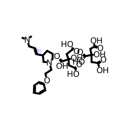 CN(C)C/C=C/C1CCCN(CCOc2ccccc2)C1.O=C(O)CC(O)(CC(=O)O)C(=O)O.O=C(O)CC(O)(CC(=O)O)C(=O)O